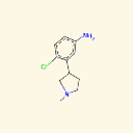 CN1CCC(c2cc(N)ccc2Cl)C1